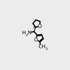 Cc1ccc(C(N)[C@H]2CCCO2)o1